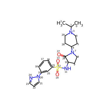 CC(C)N1CCC(N2CCC(NS(=O)(=O)c3cccc(-n4cccn4)c3)C2=O)CC1